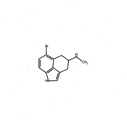 CNC1Cc2c[nH]c3ccc(Br)c(c23)C1